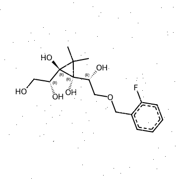 CC1(C)[C@@](O)([C@H](O)CO)[C@]1(O)[C@H](O)COCc1ccccc1F